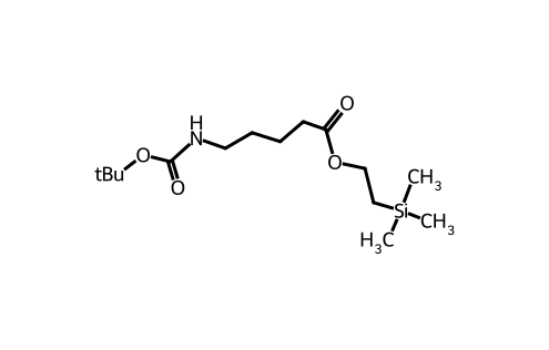 CC(C)(C)OC(=O)NCCCCC(=O)OCC[Si](C)(C)C